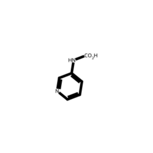 O=C(O)Nc1cccnc1